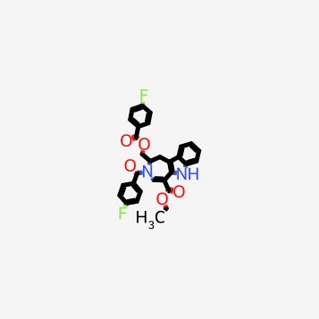 CCOC(=O)C1=CN(C(=O)c2ccc(F)cc2)C(COC(=O)c2ccc(F)cc2)Cc2c1[nH]c1ccccc21